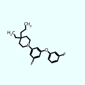 CCCC1(CC)CCN(c2cc(F)cc(Oc3cccc(F)c3)c2)CC1